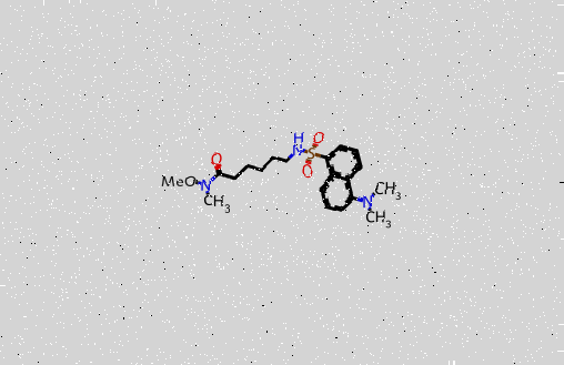 CON(C)C(=O)CCCCCNS(=O)(=O)c1cccc2c(N(C)C)cccc12